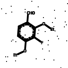 CCOc1ccc(C=O)c(OCC)c1F